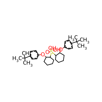 CC(C)(C)c1ccc(OC2CCCCC2S(=O)(O)(O)C2CCCCC2Oc2ccc(C(C)(C)C)cc2)cc1